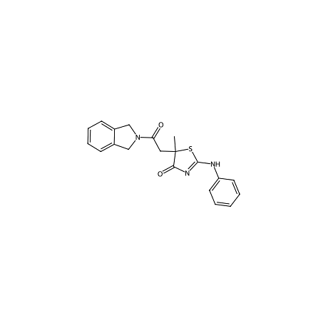 CC1(CC(=O)N2Cc3ccccc3C2)SC(Nc2ccccc2)=NC1=O